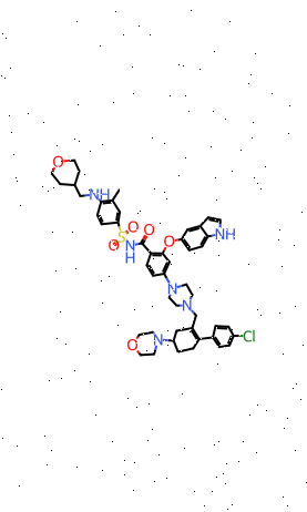 Cc1cc(S(=O)(=O)NC(=O)c2ccc(N3CCN(CC4=C(c5ccc(Cl)cc5)CCC(N5CCOCC5)C4)CC3)cc2Oc2ccc3[nH]ccc3c2)ccc1NCC1CCOCC1